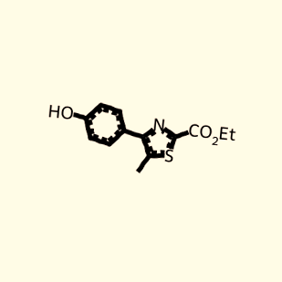 CCOC(=O)c1nc(-c2ccc(O)cc2)c(C)s1